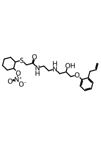 C=CCc1ccccc1OCC(O)CNCCNC(=O)CSC1CCCCC1O[N+](=O)[O-]